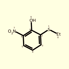 CCSc1cccc([N+](=O)[O-])c1O